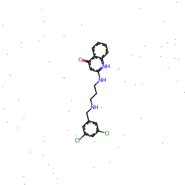 O=c1cc(NCCCNCc2cc(Cl)cc(Cl)c2)[nH]c2ccccc12